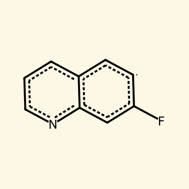 Fc1[c]cc2cccnc2c1